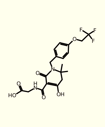 CC1(C)CC(O)=C(C(=O)NCC(=O)O)C(=O)N1Cc1ccc(OCC(F)(F)F)cc1